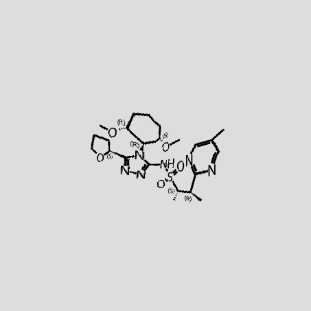 CO[C@H]1CCC[C@@H](OC)[C@@H]1n1c(NS(=O)(=O)[C@@H](C)[C@H](C)c2ncc(C)cn2)nnc1[C@@H]1CCCO1